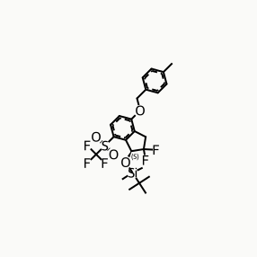 Cc1ccc(COc2ccc(S(=O)(=O)C(F)(F)F)c3c2CC(F)(F)[C@H]3O[Si](C)(C)C(C)(C)C)cc1